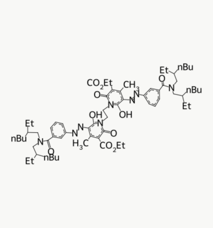 CCCCC(CC)CN(CC(CC)CCCC)C(=O)c1cccc(/N=N/c2c(C)c(C(=O)OCC)c(=O)n(CCn3c(O)c(/N=N/c4cccc(C(=O)N(CC(CC)CCCC)CC(CC)CCCC)c4)c(C)c(C(=O)OCC)c3=O)c2O)c1